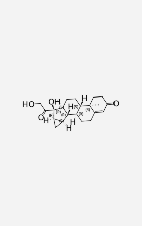 C[C@]12CCC(=O)C=C1CC[C@H]1[C@@H]3[C@H]4C[C@H]4[C@](O)(C(=O)CO)[C@@]3(C)CC[C@@H]12